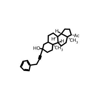 CC(=O)[C@H]1CC[C@H]2[C@@H]3CCC4CC(O)(C#CCc5ccccc5)CC[C@]4(C)[C@H]3CC[C@]12C